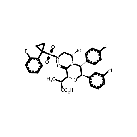 CC[C@@H](CNS(=O)(=O)C1(c2ccccc2F)CC1)N1C(=O)[C@@H]([C@H](C)C(=O)O)O[C@H](c2cccc(Cl)c2)[C@H]1c1ccc(Cl)cc1